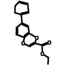 CCOC(=O)C1=COc2ccc(C3=CC=CCC3)cc2O1